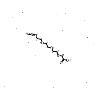 [N-]=[N+]=NCCOCCOCCOCC(=O)O